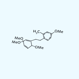 COc1ccc(CCC2=CC(OC)(OC)C=CC2OC)c(C)c1